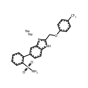 NS(=O)(=O)c1ccccc1-c1ccc2[nH]c(COc3ccc(C(F)(F)F)cc3)nc2c1.[Na].[Na]